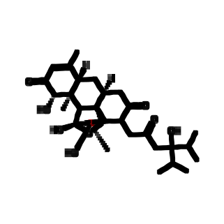 CC1=CC(=O)[C@@H](O)[C@]2(C)C3[C@]45CO[C@@]3(O)[C@H](O)[C@H](C)C4C(CC(=O)CC(O)(C(C)C)C(C)C)C(=O)C[C@@H]5C[C@@H]12